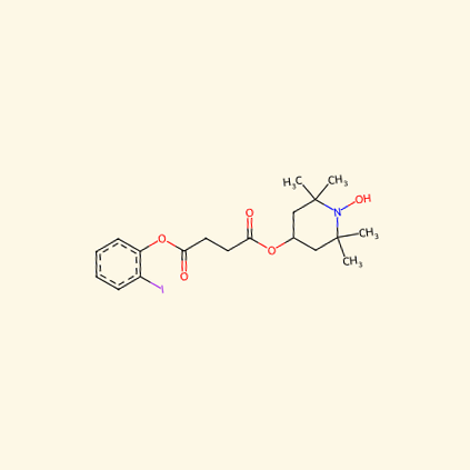 CC1(C)CC(OC(=O)CCC(=O)Oc2ccccc2I)CC(C)(C)N1O